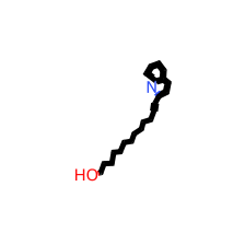 OCCCCCCCCCCCC#Cc1ccc2ccccc2n1